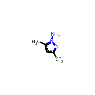 Cc1cc(C(F)(F)F)nn1N